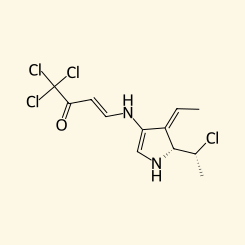 C/C=C1/C(N/C=C/C(=O)C(Cl)(Cl)Cl)=CN[C@H]1[C@@H](C)Cl